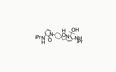 CC(C)Nc1ccc(C[C@]2(O)CC[C@@H](n3cccc(NC(C)C)c3=O)CC2)nc1C(C)(C)O